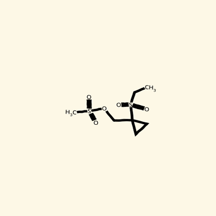 CCS(=O)(=O)C1(COS(C)(=O)=O)CC1